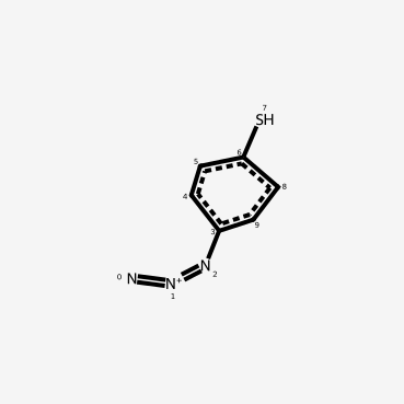 [N-]=[N+]=Nc1ccc(S)cc1